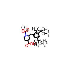 COC(=O)N1CCC(C(=O)O)CC1Cc1cc(C(C)(C)C)cc(C(C)(C)C)c1